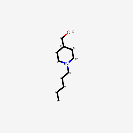 CCCCCN1CCC(C[O])CC1